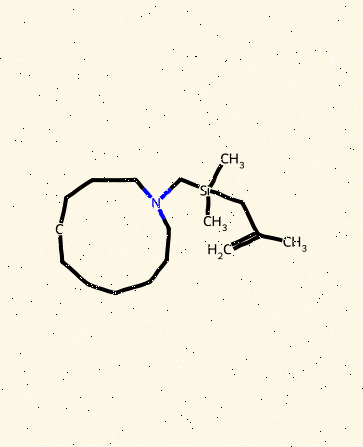 C=C(C)C[Si](C)(C)CN1CCCCCCCCCC1